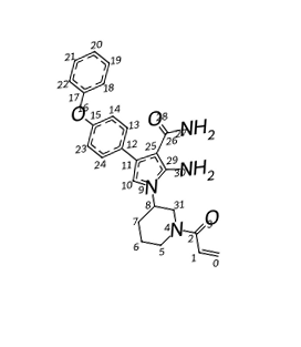 C=CC(=O)N1CCCC(n2cc(-c3ccc(Oc4ccccc4)cc3)c(C(N)=O)c2N)C1